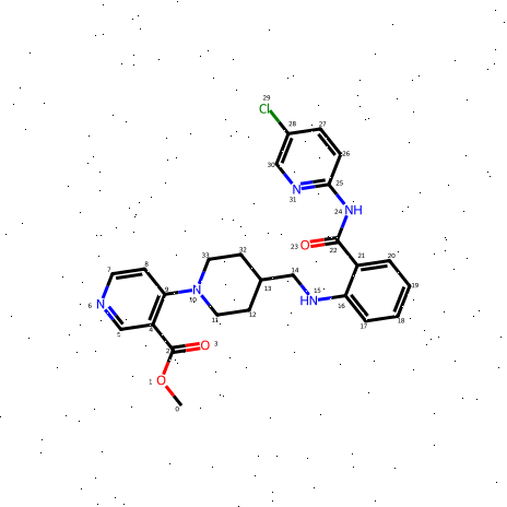 COC(=O)c1cnccc1N1CCC(CNc2ccccc2C(=O)Nc2ccc(Cl)cn2)CC1